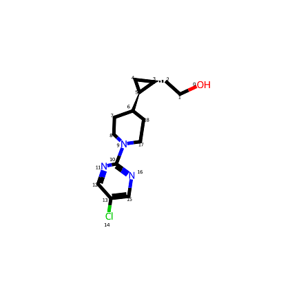 OCC[C@H]1C[C@@H]1C1CCN(c2ncc(Cl)cn2)CC1